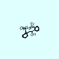 O=[N+]([O-])c1ccccc1CC(O)c1ccccc1[N+](=O)[O-]